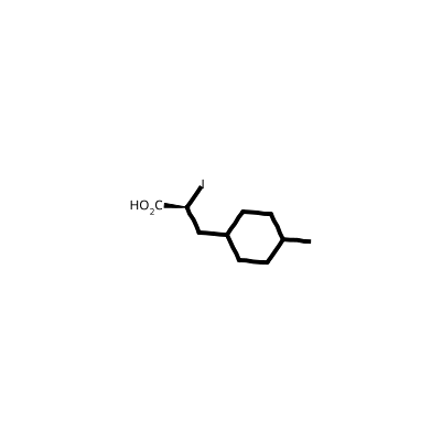 CC1CCC(C[C@H](I)C(=O)O)CC1